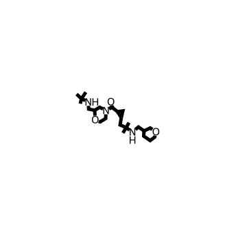 CC(C)(C)NCC1CN(C(=O)C2CC2CC(C)(C)NCC2CCCOC2)CCO1